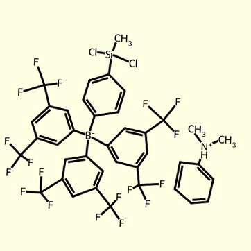 C[NH+](C)c1ccccc1.C[Si](Cl)(Cl)c1ccc([B-](c2cc(C(F)(F)F)cc(C(F)(F)F)c2)(c2cc(C(F)(F)F)cc(C(F)(F)F)c2)c2cc(C(F)(F)F)cc(C(F)(F)F)c2)cc1